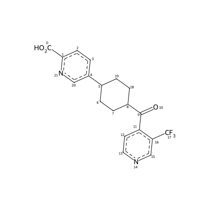 O=C(O)c1ccc(C2CCC(C(=O)c3ccncc3C(F)(F)F)CC2)cn1